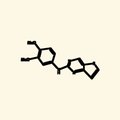 COc1ccc(Nc2ncc3sccc3n2)cc1OC